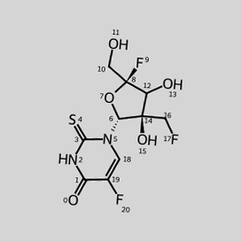 O=c1[nH]c(=S)n([C@@H]2O[C@](F)(CO)C(O)[C@]2(O)CF)cc1F